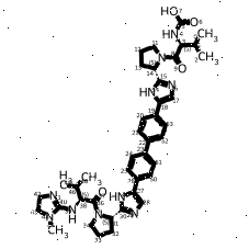 CC(C)[C@H](NC(=O)O)C(=O)N1CCC[C@H]1c1ncc(-c2ccc(-c3ccc(-c4cnc([C@@H]5CCCN5C(=O)[C@@H](NC5=NCCN5C)C(C)C)[nH]4)cc3)cc2)[nH]1